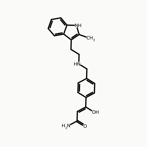 Cc1[nH]c2ccccc2c1CCNCc1ccc(C(O)=CC(N)=O)cc1